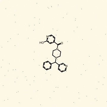 O=C(c1ccnc(O)c1)N1CCN(C(c2ccccc2)c2cccnc2)CC1